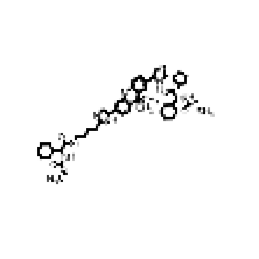 COC(=O)N[C@H](C(=O)NCCCCC1=NCC(c2ccc3c(c2)Oc2ccc(C4CN=C([C@@H]5CCCN5C(=O)[C@@H](NC(=O)OC)C5CCCCC5)N4)cc2C3(C)C)N1)C1CCCCC1